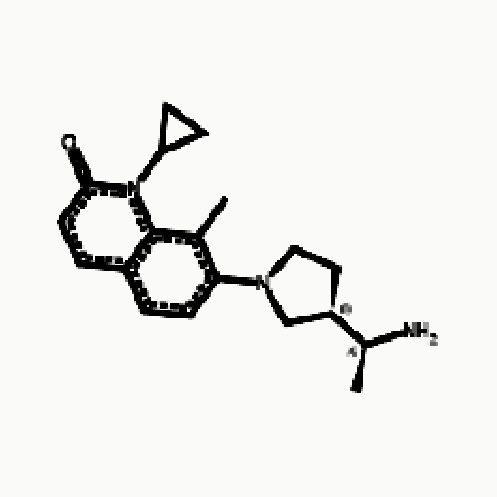 Cc1c(N2CC[C@@H]([C@H](C)N)C2)ccc2ccc(=O)n(C3CC3)c12